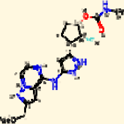 COCc1cc2c(Nc3cc([C@@H]4CC[C@H](OC(=O)NC(C)C)[C@@H]4F)[nH]n3)nccn2n1